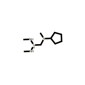 CN[SiH](CN(C)C1CCCC1)NC